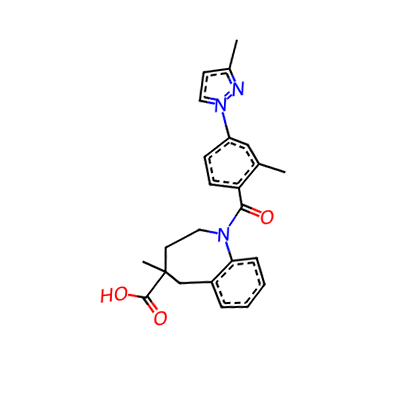 Cc1ccn(-c2ccc(C(=O)N3CCC(C)(C(=O)O)Cc4ccccc43)c(C)c2)n1